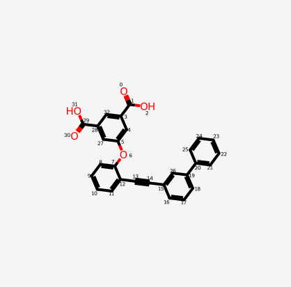 O=C(O)c1cc(Oc2ccccc2C#Cc2cccc(-c3ccccc3)c2)cc(C(=O)O)c1